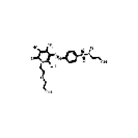 CCN(CCO)S(=O)(=O)c1ccc(/N=N/c2c(C(F)(F)F)c(C#N)c(=O)n(CCOCCO)c2O)cc1